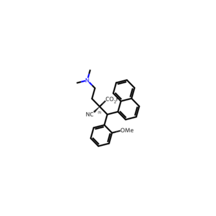 COc1ccccc1C(c1cccc2ccccc12)[C@](C#N)(CCN(C)C)C(=O)O